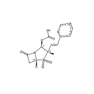 C[C@]1(/C=C/c2ccccn2)[C@H](OC(=O)O)N2C(=O)C[C@H]2S1(=O)=O